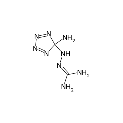 NC(N)=NNC1(N)N=NN=N1